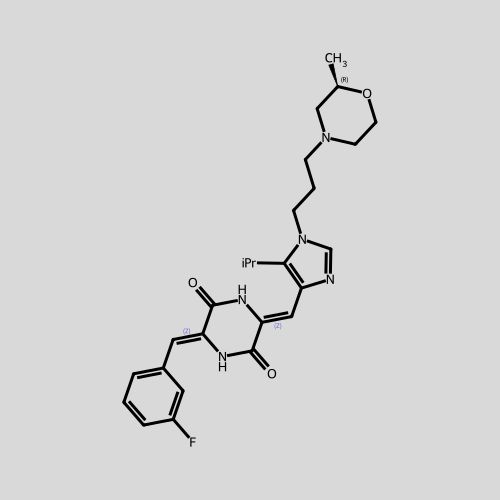 CC(C)c1c(/C=c2\[nH]c(=O)/c(=C/c3cccc(F)c3)[nH]c2=O)ncn1CCCN1CCO[C@H](C)C1